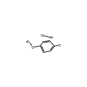 CC(C)Cl.CC(C)Oc1ccc(Cl)cc1